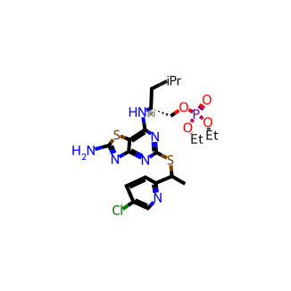 CCOP(=O)(OCC)OC[C@@H](CC(C)C)Nc1nc(SC(C)c2ccc(Cl)cn2)nc2nc(N)sc12